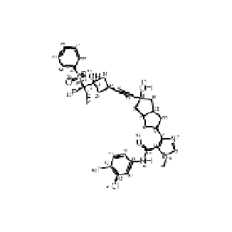 Cn1cnc(C2CC3CC(O)(C#CC4CC(O)(C(F)(F)S(=O)(=O)c5ccccc5)C4)CC3C2)c1C(=O)Nc1ccc(F)c(Cl)c1